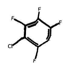 Fc1[c]c(F)c(Cl)c(F)c1F